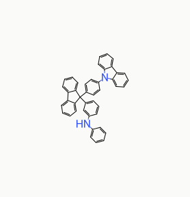 c1ccc(Nc2cccc(C3(c4ccc(-n5c6ccccc6c6ccccc65)cc4)c4ccccc4-c4ccccc43)c2)cc1